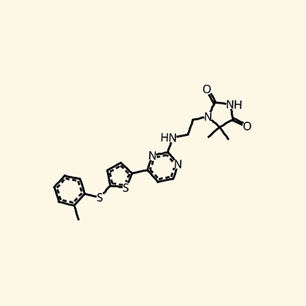 Cc1ccccc1Sc1ccc(-c2ccnc(NCCN3C(=O)NC(=O)C3(C)C)n2)s1